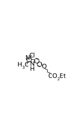 CCOC(=O)CCCCOc1ccc2c(ccc3c2[nH]c2c(C)cnc(Cl)c23)c1